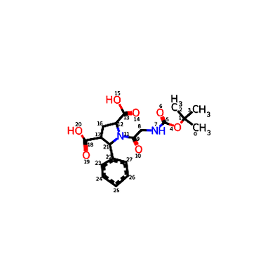 CC(C)(C)OC(=O)NCC(=O)N1C(C(=O)O)CC(C(=O)O)C1c1ccccc1